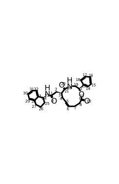 O=C(C[C@@H]1C/C=C/CCC(=O)O[C@H](c2ccccc2)CNC1=O)N[C@@H]1CCCc2ccccc21